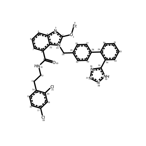 CCOc1nc2cccc(C(=O)NCCc3ccc(Cl)cc3Cl)c2n1Cc1ccc(-c2ccccc2-c2nnn[nH]2)cc1